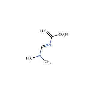 C=C(N=CN(C)C)C(=O)O